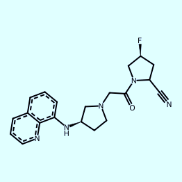 N#CC1C[C@H](F)CN1C(=O)CN1CC[C@@H](Nc2cccc3cccnc23)C1